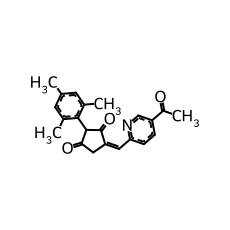 CC(=O)c1ccc(C=C2CC(=O)C(c3c(C)cc(C)cc3C)C2=O)nc1